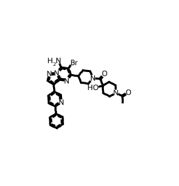 CC(=O)N1CCC(O)(C(=O)N2CCC(c3nc4c(-c5ccc(-c6ccccc6)nc5)cnn4c(N)c3Br)CC2)CC1